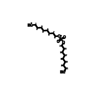 CCC(C)CCCCCCCCOS(=O)(=O)OCCCCCCCCC(C)CC